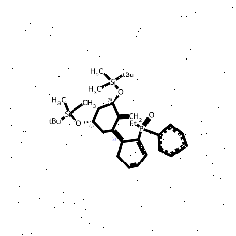 C=C1/C(=C2/CC=CC=C2P(=O)(CC)c2ccccc2)C[C@H](O[Si](C)(C)C(C)(C)C)C[C@H]1O[Si](C)(C)C(C)(C)C